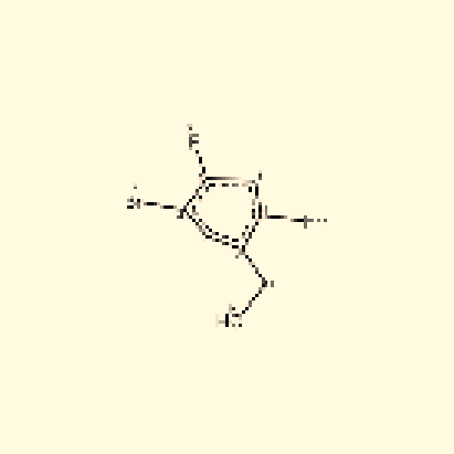 OCc1cc(Br)c(F)cc1F